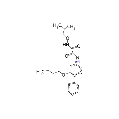 CCCCOc1c/c(=N\C(=O)C(=O)NOCC(C)C)cnn1-c1ccccc1